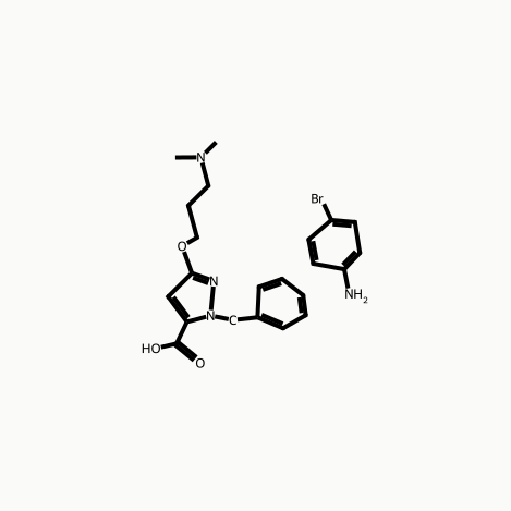 CN(C)CCCOc1cc(C(=O)O)n(Cc2ccccc2)n1.Nc1ccc(Br)cc1